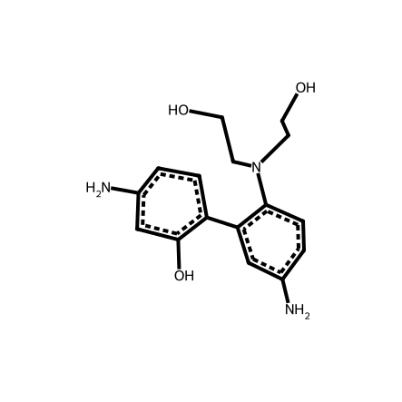 Nc1ccc(-c2cc(N)ccc2N(CCO)CCO)c(O)c1